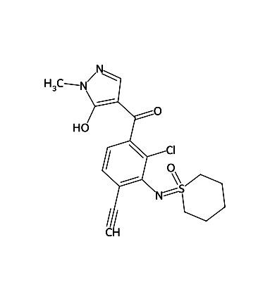 C#Cc1ccc(C(=O)c2cnn(C)c2O)c(Cl)c1N=S1(=O)CCCCC1